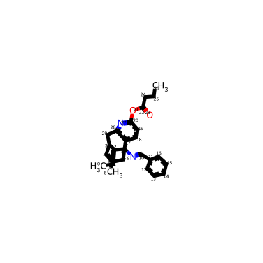 C/C=C1\C2C=C(C)CC1(/N=C/c1ccccc1)c1ccc(OC(=O)CCC)nc1C2